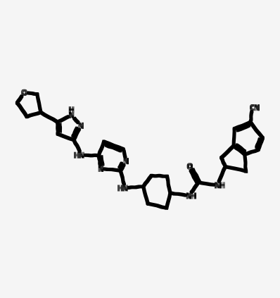 N#Cc1ccc2c(c1)CC(NC(=O)NC1CCC(Nc3nccc(Nc4cc(C5CCOC5)[nH]n4)n3)CC1)C2